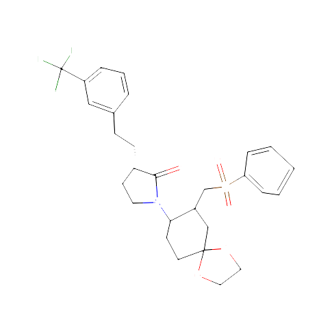 O=C1[C@@H](CCc2cccc(C(F)(F)F)c2)CCN1C1CCC2(CC1CS(=O)(=O)c1ccccc1)OCCO2